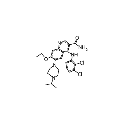 CCOc1cc2ncc(C(N)=O)c(Nc3cccc(Cl)c3Cl)c2cc1N1CCN(C(C)C)CC1